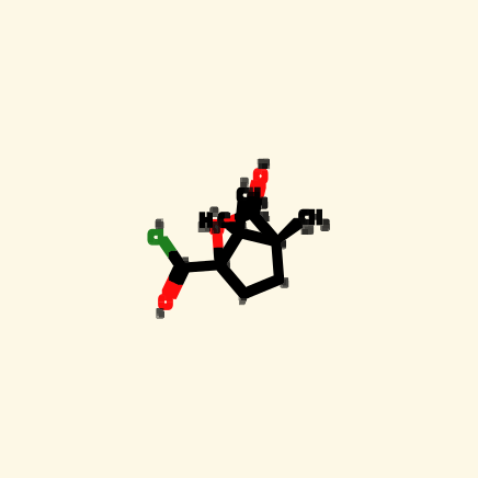 CC1(C)C2(C(=O)Cl)CC[C@@]1(C)C(=O)O2